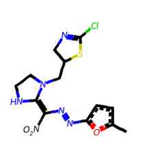 Cc1ccc(/N=N/C(=C2/NCCN2CC2CN=C(Cl)S2)[N+](=O)[O-])o1